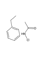 CC(=O)NCl.CCc1ccccc1